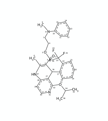 CC1=C(C(=O)OCCN(C)c2ccccc2)C(c2ccccc2C(F)(F)F)c2c(ccnc2OC(C)C)N1